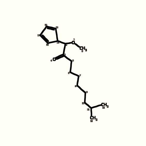 COC(C(=O)CCCCCCC(C)C)C1C=CC=C1